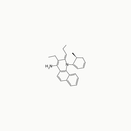 CC/C=C1\C(CC)=C(N)c2ccc3ccccc3c2N1C1=CC=CC[C@@H]1C